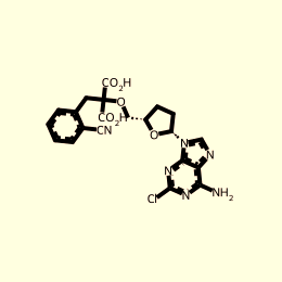 N#Cc1ccccc1CC(OC[C@@H]1CC[C@H](n2cnc3c(N)nc(Cl)nc32)O1)(C(=O)O)C(=O)O